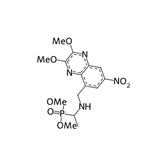 COc1nc2cc([N+](=O)[O-])cc(CNC(C)P(=O)(OC)OC)c2nc1OC